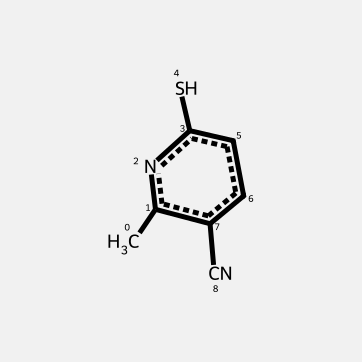 Cc1nc(S)ccc1C#N